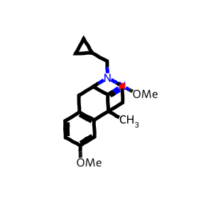 CON=C1C2Cc3ccc(OC)cc3C1(C)CCN2CC1CC1